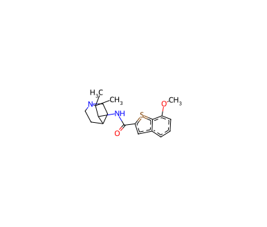 COc1cccc2cc(C(=O)NC3C4CCN(CC4)C3(C)C)sc12